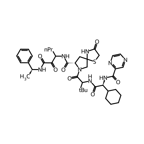 CCCC(NC(=O)[C@@H]1CC2(CN1C(=O)C(NC(=O)[C@@H](NC(=O)c1cnccn1)C1CCCCC1)C(C)(C)C)NC(=O)CS2)C(=O)C(=O)N[C@@H](C)c1ccccc1